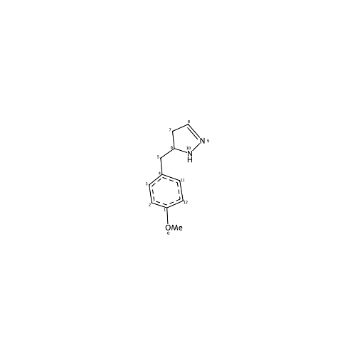 COc1ccc(CC2CC=NN2)cc1